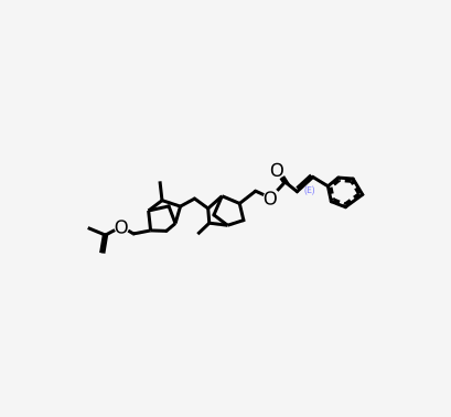 C=C(C)OCC1CC2CC1C(C)C2CC1C(C)C2CC(COC(=O)/C=C/c3ccccc3)C1C2